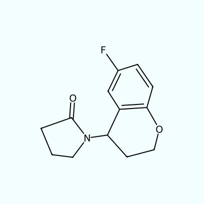 O=C1CCCN1C1CCOc2ccc(F)cc21